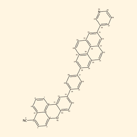 N#Cc1ccc2c3c(cccc13)-c1cc(-c3ccc(-c4cc5ccc6cc(-c7cccnc7)cc7ccc(c4)c5c67)cc3)ccc1O2